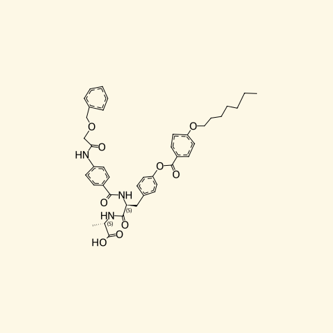 CCCCCCCOc1ccc(C(=O)Oc2ccc(C[C@H](NC(=O)c3ccc(NC(=O)COCc4ccccc4)cc3)C(=O)N[C@@H](C)C(=O)O)cc2)cc1